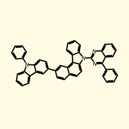 c1ccc(-c2nc(-n3c4ccccc4c4c5cc(-c6ccc7c(c6)c6ccccc6n7-c6ccccc6)ccc5ccc43)nc3ccccc23)cc1